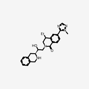 CCC1CN(CC(O)[C@@H]2Cc3ccccc3CN2)C(=O)c2ccc(-c3ncnn3C)cc21